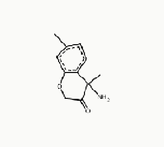 Cc1ccc2c(c1)OCC(=O)C2(C)N